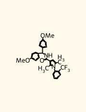 COc1ccc(C(NC(=O)c2cc(C)n(-c3ccccc3C(F)(F)F)c2C)c2ccc(OC)cc2)cc1